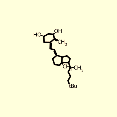 C=C1/C(=C\C=C2/CCCC3(C)C2CCC3[C@@H](C)CCCC(C)(C)C)C[C@@H](O)CC1O